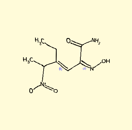 CC/C(=C\C(=N\O)C(N)=O)C(C)[N+](=O)[O-]